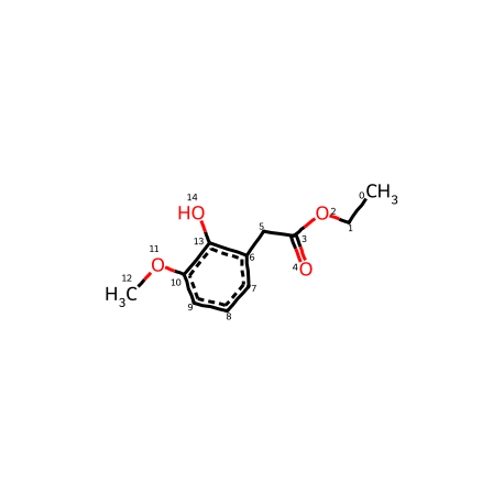 CCOC(=O)Cc1cccc(OC)c1O